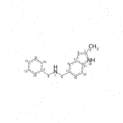 Cc1cc2cc(CNCc3ccccc3)ccc2[nH]1